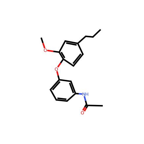 CCCc1ccc(Oc2cccc(NC(C)=O)c2)c(OC)c1